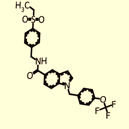 CCS(=O)(=O)c1ccc(CNC(=O)c2ccc3c(ccn3Cc3ccc(OC(F)(F)F)cc3)c2)cc1